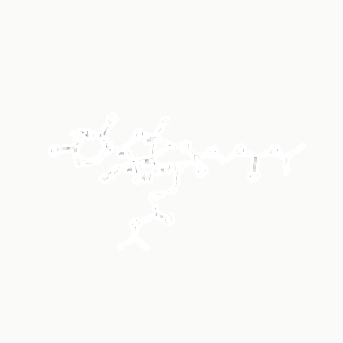 C#C[C@]1(O)[C@H](n2ccc(=O)[nH]c2=O)O[C@]2(F)C(OP(=O)(OCOC(=O)OC(C)C)OCOC(=O)OC(C)C)[C@@]21O